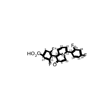 O=C(O)c1cc(F)c(-c2c(=O)ccn3c(-c4ccc(F)cc4F)cccc23)c(F)c1